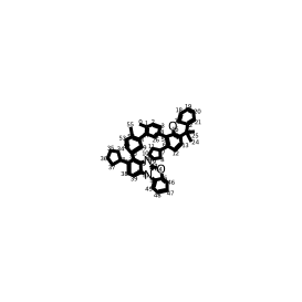 Cc1ccc(-c2c(C3CCCC3)ccc3c2Oc2ccccc2C3(C)C)cc1-c1cc(-c2c(C3CCCC3)ccc3c2nc2oc4ccccc4n23)ccc1C